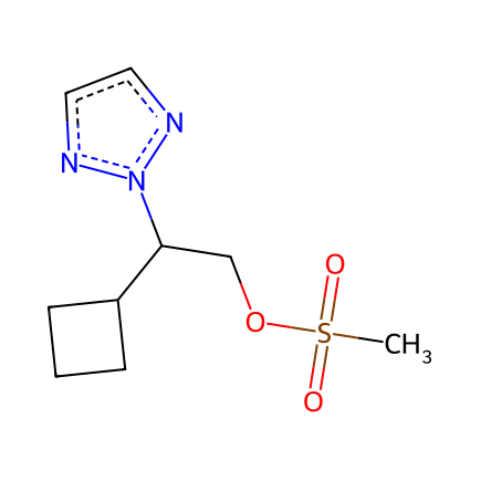 CS(=O)(=O)OCC(C1CCC1)n1nccn1